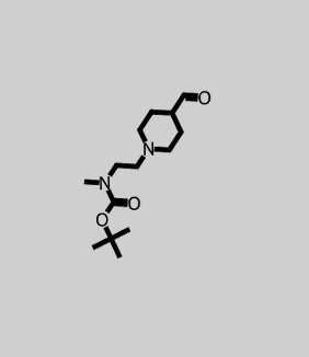 CN(CCN1CCC(C=O)CC1)C(=O)OC(C)(C)C